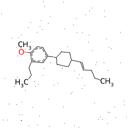 CCCC=CC1CCC(c2ccc(OC)c(CCC)c2)CC1